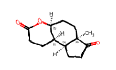 C[C@@]12CC[C@@H]3OC(=O)CC[C@@H]3[C@@H]1CCC2=O